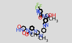 CN(C[C@H]1CC[C@H](n2cc3cc(NC(=O)c4ccc(C(F)(F)F)nn4)c(C(C)(C)O)cc3n2)CC1)C1CCN(c2cccc3c2n(C)c(=O)n3C2CCC(=O)NC2=O)CC1